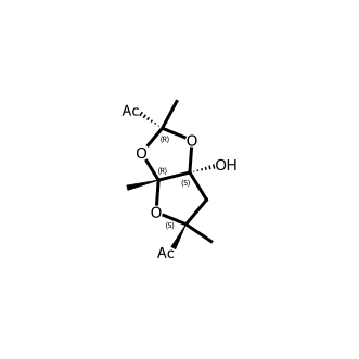 CC(=O)[C@@]1(C)O[C@@]2(C)O[C@](C)(C(C)=O)C[C@]2(O)O1